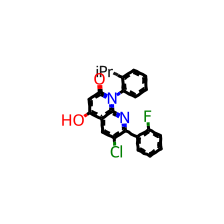 CC(C)c1ccccc1-n1c(=O)cc(O)c2cc(Cl)c(-c3ccccc3F)nc21